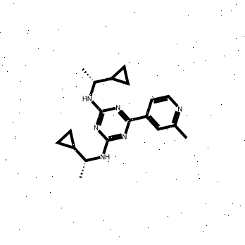 Cc1cc(-c2nc(N[C@H](C)C3CC3)nc(N[C@H](C)C3CC3)n2)ccn1